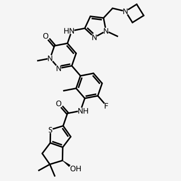 Cc1c(-c2cc(Nc3cc(CN4CCC4)n(C)n3)c(=O)n(C)n2)ccc(F)c1NC(=O)c1cc2c(s1)CC(C)(C)[C@@H]2O